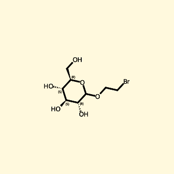 OC[C@H]1OC(OCCBr)[C@H](O)[C@@H](O)[C@@H]1O